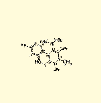 CCCCN(CCCC)C1=C(C(C)C)N(C)C(C(C)C)C(CO)=C1c1ccc(F)cc1